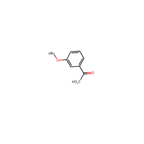 CCCCOc1cccc(C(=O)C(=O)O)c1